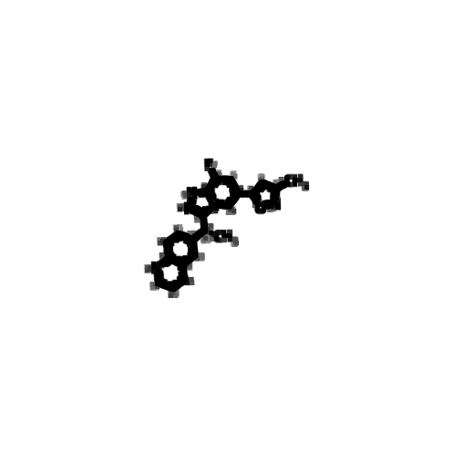 Cc1cc(-c2cc(F)c3nnc([C@H](C)c4ccc5ncccc5c4)n3c2)on1